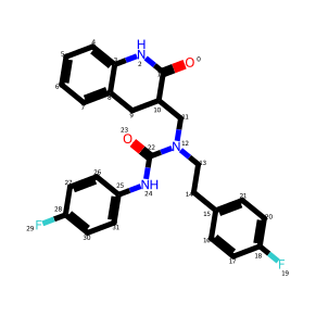 O=C1Nc2ccccc2CC1CN(CCc1ccc(F)cc1)C(=O)Nc1ccc(F)cc1